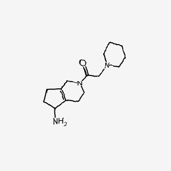 NC1CCC2=C1CCN(C(=O)CN1CCCCC1)C2